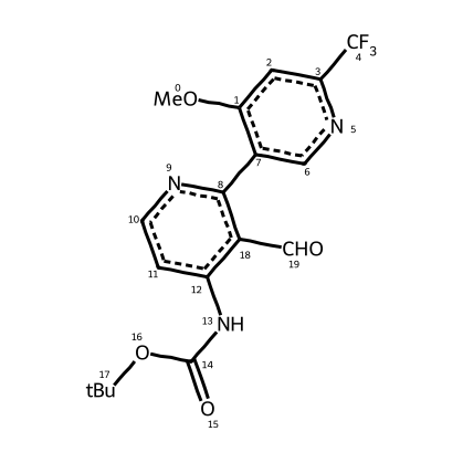 COc1cc(C(F)(F)F)ncc1-c1nccc(NC(=O)OC(C)(C)C)c1C=O